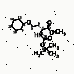 COC(=O)[C@@H](CCOC1CCCCC1)NC(=O)OC(C)(C)C